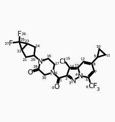 O=C(c1nn2c(C(F)(F)F)cc(C3CC3)cc2c1Cl)N1CCN(C2CC3C(C2)C3(F)F)C(=O)C1